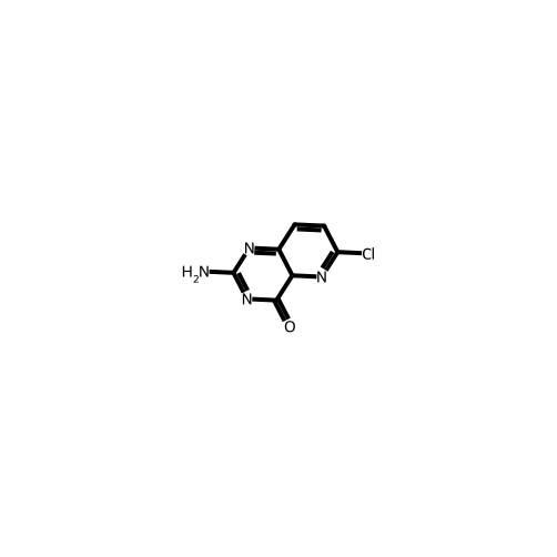 NC1=NC(=O)C2N=C(Cl)C=CC2=N1